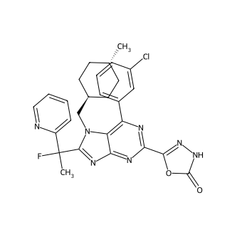 CC(F)(c1ccccn1)c1nc2nc(-c3n[nH]c(=O)o3)nc(-c3cccc(Cl)c3)c2n1C[C@H]1CC[C@H](C)CC1